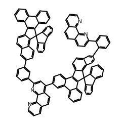 c1cc(-c2ccc3c4c(ccc3c2)-c2c(c3ccccc3c3ccccc23)C42c3ccccc3-c3ccccc32)cc(-c2cc(-c3ccc4c5c(c6ccccc6c4c3)C3(c4ccccc4-c4ccccc43)c3c-5ccc4cc(-c5ccccc5-c5ccc6ccc7cccnc7c6n5)ccc34)c3ccc4cccnc4c3n2)c1